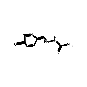 NC(=S)NN/C=C1\C=CC(=O)C=N1